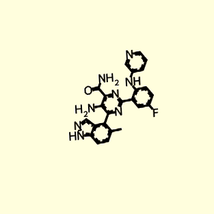 Cc1ccc2[nH]ncc2c1-c1nc(-c2cc(F)ccc2Nc2cccnc2)nc(C(N)=O)c1N